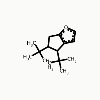 CC(C)(C)C1Cc2occc2C1C(C)(C)C